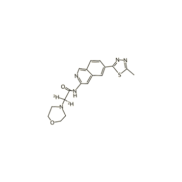 [2H]C([2H])(C(=O)Nc1cc2cc(-c3nnc(C)s3)ccc2cn1)N1CCOCC1